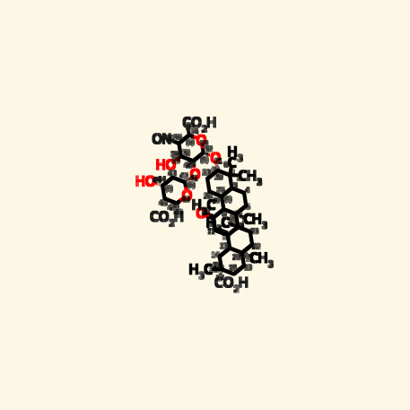 CC1(C)C2CC[C@]3(C)C(C(=O)C=C4C5C[C@@](C)(C(=O)O)CC[C@]5(C)CC[C@]43C)[C@@]2(C)CC[C@@H]1O[C@H]1O[C@H](C(=O)O)C(N=O)[C@H](O)[C@H]1O[C@H]1C[C@@H](O)C[C@@H](C(=O)O)O1